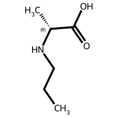 CCCN[C@H](C)C(=O)O